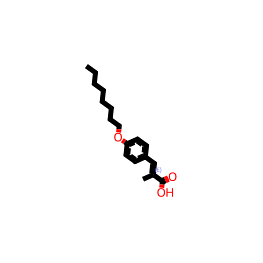 CCCCCCCCOc1ccc(/C=C(\C)C(=O)O)cc1